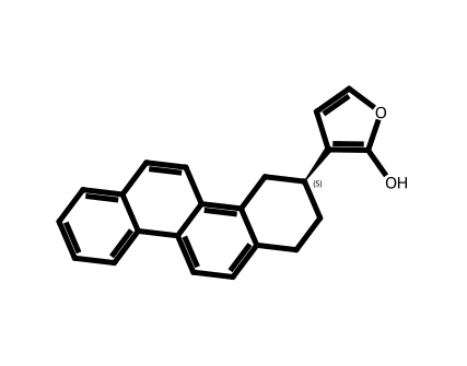 Oc1occc1[C@H]1CCc2ccc3c(ccc4ccccc43)c2C1